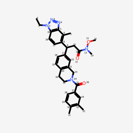 CCn1nnc2c(C)c(C(CC(=O)N(C)OC)c3ccc4c(c3)CN(C(=O)c3ccc(C)c(C)c3)CC4)ccc21